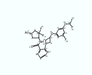 CC(=O)N1CC(NC(=O)c2nccnc2N2CC(Oc3cc(F)cc(OC(F)F)c3)C2)C(F)(F)C1